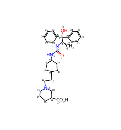 C[C@@H](NC(=O)NC1CCC(CCN2CCCC(C(=O)O)C2)CC1)C(O)(c1ccccc1)c1ccccc1